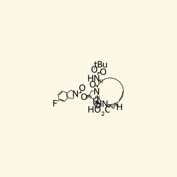 CC(C)(C)OC(=O)N[C@H]1CCCCCC=C=C[C@@H]2C[C@@]2(C(=O)O)NC(=O)[C@@H]2C[C@@H](OC(=O)N3Cc4ccc(F)cc4C3)CN2C1=O